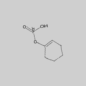 O=[PH](O)OC1=CCCCC1